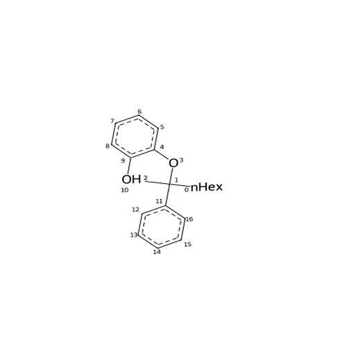 CCCCCCC(C)(Oc1ccccc1O)c1ccccc1